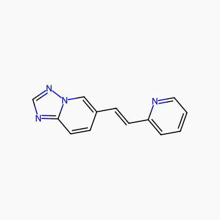 C(=Cc1ccccn1)c1ccc2ncnn2c1